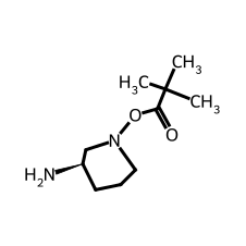 CC(C)(C)C(=O)ON1CCC[C@@H](N)C1